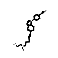 C#Cc1ccc(-n2ccc3cc(C#CCCCN(CC)CCO)ccc32)cc1